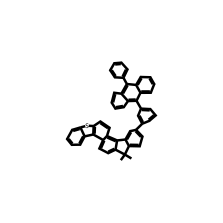 CC1(C)c2ccc(-c3cccc(-c4c5ccccc5c(-c5ccccc5)c5ccccc45)c3)cc2-c2c1ccc1c2ccc2sc3ccccc3c21